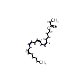 CCCCC/C=C\C/C=C\C/C=C\C/C=C\CCCCOC(=O)CC